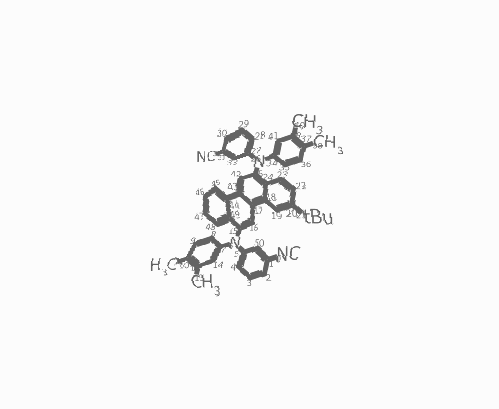 [C-]#[N+]c1cccc(N(c2ccc(C)c(C)c2)c2cc3c4cc(C(C)(C)C)ccc4c(N(c4cccc(C#N)c4)c4ccc(C)c(C)c4)cc3c3ccccc23)c1